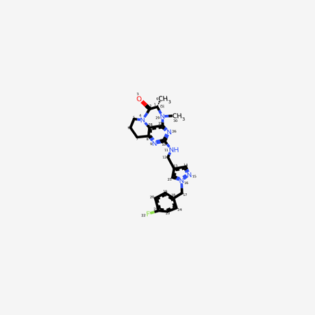 C[C@H]1C(=O)N2CCCc3nc(NCc4cnn(Cc5ccc(F)cc5)c4)nc(c32)N1C